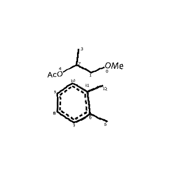 COCC(C)OC(C)=O.Cc1ccccc1C